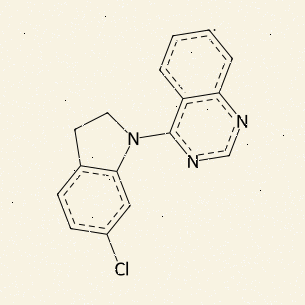 Clc1ccc2c(c1)N(c1ncnc3c[c]ccc13)CC2